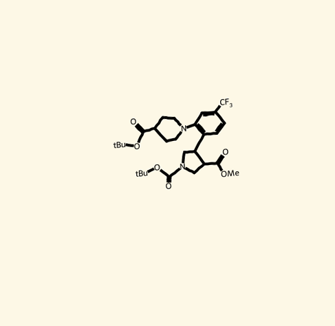 COC(=O)C1CN(C(=O)OC(C)(C)C)CC1c1ccc(C(F)(F)F)cc1N1CCC(C(=O)OC(C)(C)C)CC1